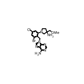 COCC1(N)CCN(c2cc(Cl)cc(Br)c2Cn2cnc3c(N)ncnc32)C1